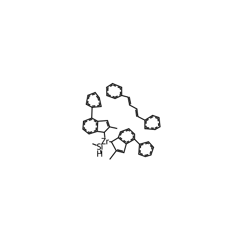 C(C=Cc1ccccc1)=Cc1ccccc1.CC1=Cc2c(-c3ccccc3)cccc2[CH]1[Zr]([CH]1C(C)=Cc2c(-c3ccccc3)cccc21)[SiH](C)C